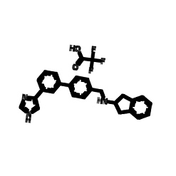 O=C(O)C(F)(F)F.c1cc(-c2ccc(CNC3Cc4ccccc4C3)cc2)cc(-c2c[nH]cn2)c1